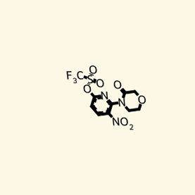 O=C1COCCN1c1nc(OS(=O)(=O)C(F)(F)F)ccc1[N+](=O)[O-]